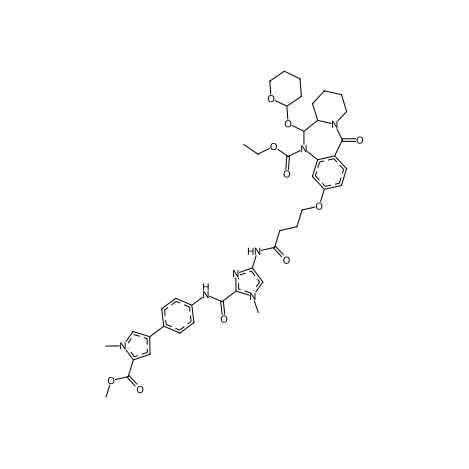 CCOC(=O)N1c2cc(OCCCC(=O)Nc3cn(C)c(C(=O)Nc4ccc(-c5cc(C(=O)OC)n(C)c5)cc4)n3)ccc2C(=O)N2CCCCC2C1OC1CCCCO1